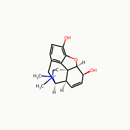 C[N+]1(C)CC[C@]23c4c5ccc(O)c4O[C@H]2[C@@H](O)C=C[C@H]3[C@H]1C5